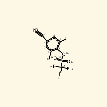 Cc1cc(C#N)cc(C)c1OS(=O)(=O)C(F)(F)F